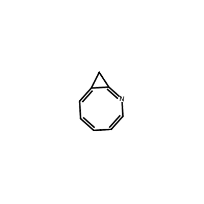 C1=CC=C2CC2=NC=C1